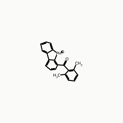 Cc1cccc(C)c1C(=O)c1cccc2c1[PH](=O)c1ccccc1-2